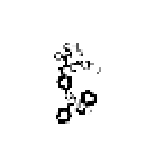 CCOC(Cc1ccc(OC[N+]2(Cc3ccccc3)CCOc3ccccc32)cc1)C(=O)OC